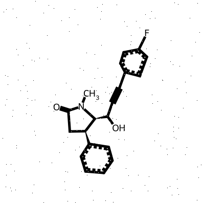 CN1C(=O)C[C@H](c2ccccc2)[C@@H]1C(O)C#Cc1ccc(F)cc1